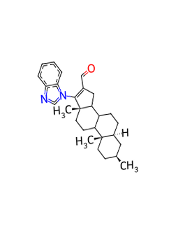 C[C@H]1CC[C@]2(C)C3CC[C@]4(C)C(n5cnc6ccccc65)=C(C=O)CC4C3CC[C@H]2C1